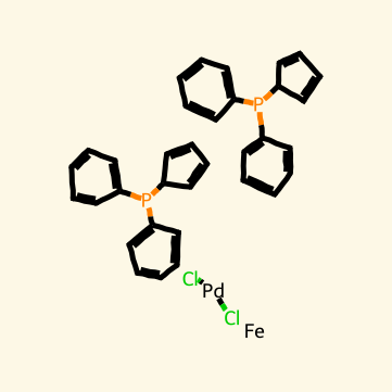 C1=CC(P(c2ccccc2)c2ccccc2)C=C1.C1=CC(P(c2ccccc2)c2ccccc2)C=C1.[Cl][Pd][Cl].[Fe]